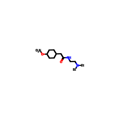 CCN(CC)CCNC(=O)CC1CCC(O[N+](=O)[O-])CC1